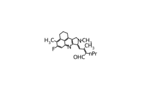 CCC/C(C=O)=C(C)/C=C1/c2nc3cc(F)c(C)c4c3c(c2CN1C)CCC4